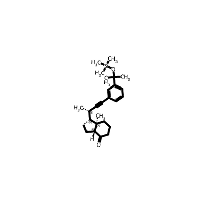 C[C@H](C#Cc1cccc(C(C)(C)O[Si](C)(C)C)c1)[C@H]1CC[C@H]2C(=O)CCC[C@]12C